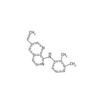 C=Cc1cnc2c(Nc3cccc(C)c3C)nccc2c1